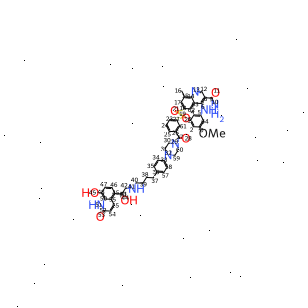 COc1cccc(Nc2c(C(N)=O)cnc3c(C)cc(S(=O)(=O)c4cccc(C(=O)N5CCN(c6ccc(CCCCNC[C@H](O)c7ccc(O)c8[nH]c(=O)ccc78)cc6)CC5)c4)cc23)c1